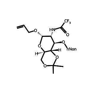 C=CCO[C@H]1O[C@@H]2COC(C)(C)O[C@H]2[C@H](OCCCCCCCCC)[C@H]1NC(=O)C(F)(F)F